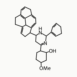 COC1CCC(C2=NC(C3=CCCC=C3)NC(C3CC=C4CCC5=C6C(=CC=C3C46)CC=C5)C2)C(O)C1